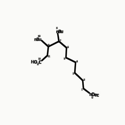 CCCCCCCCCCCCCCCC[C](CCCC)C(CCCC)CC(=O)O